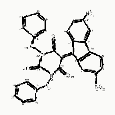 O=C1C(=C2c3cc([N+](=O)[O-])ccc3-c3cc([N+](=O)[O-])ccc32)C(=O)N(Sc2ccccc2)C(=O)N1Sc1ccccc1